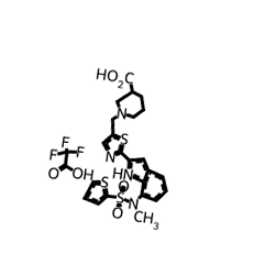 CN(c1cccc2cc(-c3ncc(CN4CCCC(C(=O)O)C4)s3)[nH]c12)S(=O)(=O)c1cccs1.O=C(O)C(F)(F)F